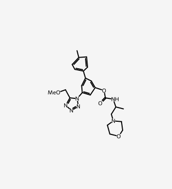 COCc1nnnn1-c1cc(OC(=O)NC(C)CN2CCOCC2)cc(-c2ccc(C)cc2)c1